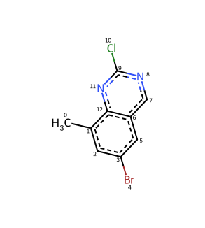 Cc1cc(Br)cc2cnc(Cl)nc12